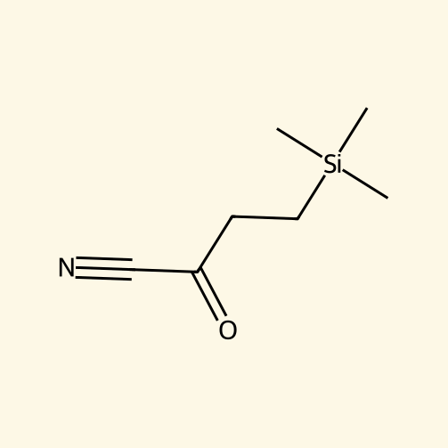 C[Si](C)(C)CCC(=O)C#N